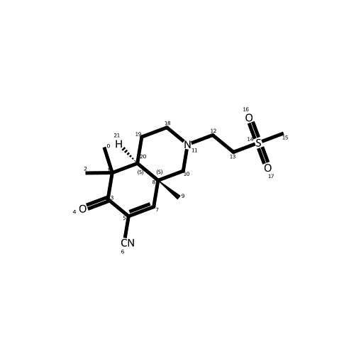 CC1(C)C(=O)C(C#N)=C[C@@]2(C)CN(CCS(C)(=O)=O)CC[C@H]12